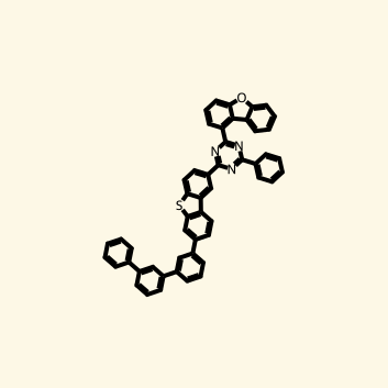 c1ccc(-c2cccc(-c3cccc(-c4ccc5c(c4)sc4ccc(-c6nc(-c7ccccc7)nc(-c7cccc8oc9ccccc9c78)n6)cc45)c3)c2)cc1